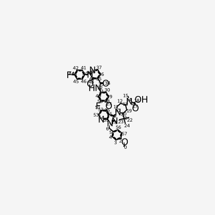 COc1ccc(Cn2nc(N3CCC(N(C)C(=O)O)CC3C(C)(C)C)c3c(Oc4ccc(NC(=O)c5ccnn(-c6ccc(F)cc6)c5=O)cc4F)ccnc32)cc1